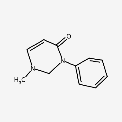 CN1C=CC(=O)N(c2ccccc2)C1